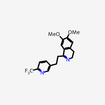 COc1cc2c(cc1OC)C(CCc1ccc(C(F)(F)F)nc1)=NCC2